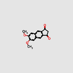 COc1cc2cc3c(cc2cc1OC)C(=O)CC3=O